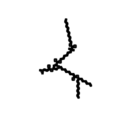 CCCCCCCCCCCOC(=O)C(C)(C)CCCCCCOC(=O)[C@@H]1C[C@H](OC(=O)CCN(C)C)CN1CCCCCCCC(=O)OC(CCCCCC)CCCCCCCC